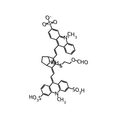 CN1c2cc(S(=O)(=O)O)ccc2C(=C/C=C2C(SCCOC=O)=C(/C=C/c3c4ccccc4[n+](C)c4cc(S(=O)(=O)[O-])ccc34)C3CCC/2N3C)c2ccc(S(=O)(=O)O)cc21